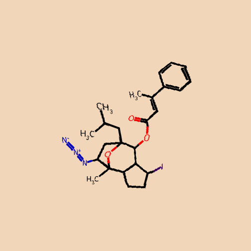 C/C(=C\C(=O)OC1C2C(I)CCC2C2(C)OC1(CC(C)C)CC2N=[N+]=[N-])c1ccccc1